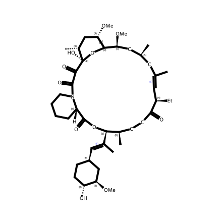 CC[C@@H]1/C=C(\C)C[C@H](C)C[C@H](OC)[C@H]2O[C@@](O)(C(=O)C(=O)N3CCCC[C@H]3C(=O)O[C@H](/C(C)=C/[C@@H]3CC[C@@H](O)[C@H](OC)C3)[C@H](C)CCC1=O)[C@H](C)C[C@@H]2OC